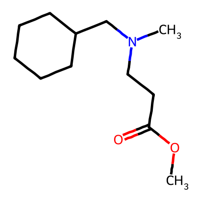 COC(=O)CCN(C)CC1CCCCC1